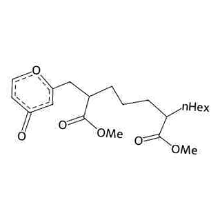 CCCCCCC(CCCC(Cc1cc(=O)cco1)C(=O)OC)C(=O)OC